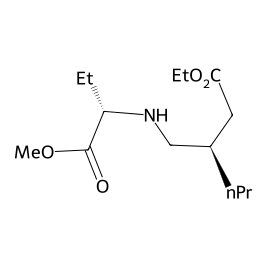 CCC[C@@H](CN[C@@H](CC)C(=O)OC)CC(=O)OCC